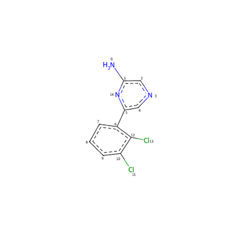 Nc1cncc(-c2cccc(Cl)c2Cl)n1